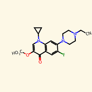 N#CCN1CCN(c2cc3c(cc2F)c(=O)c(OC(=O)O)cn3C2CC2)CC1